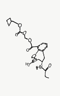 CCC(=O)NC1Cc2cccc(C(=O)OCOC(=O)OC3CCC3)c2OB1O